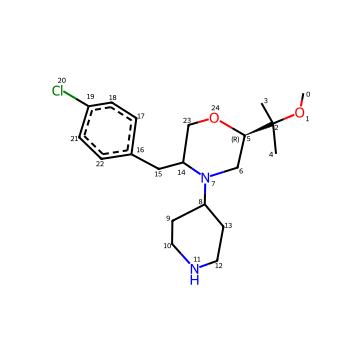 COC(C)(C)[C@H]1CN(C2CCNCC2)C(Cc2ccc(Cl)cc2)CO1